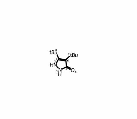 CC(C)(C)c1[nH][nH]c(=O)c1C(C)(C)C